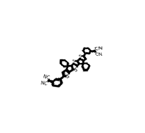 N#CC(C#N)=C1C=C(c2cc3c(s2)-c2sc4c5c(sc4c2C32CCCCC2)-c2sc(C3=CC(=C(C#N)C#N)CCC3)cc2C52CCCCC2)CCC1